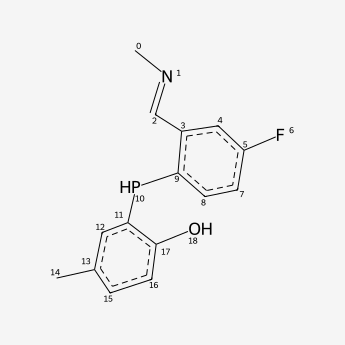 C/N=C/c1cc(F)ccc1Pc1cc(C)ccc1O